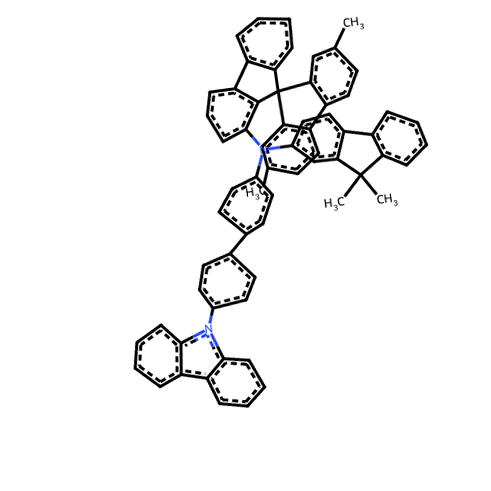 Cc1ccc2c(c1)C1(c3cc(C)ccc3-2)c2ccccc2-c2cccc(N(c3ccc(-c4ccc(-n5c6ccccc6c6ccccc65)cc4)cc3)c3ccc4c(c3)C(C)(C)c3ccccc3-4)c21